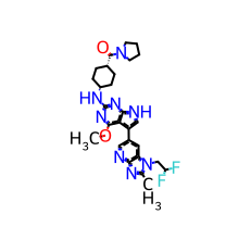 COc1nc(N[C@H]2CC[C@@H](C(=O)N3CCCC3)CC2)nc2[nH]cc(-c3cnc4nc(C)n(CC(F)F)c4c3)c12